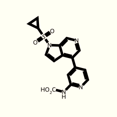 O=C(O)Nc1cc(-c2cncc3c2ccn3S(=O)(=O)C2CC2)ccn1